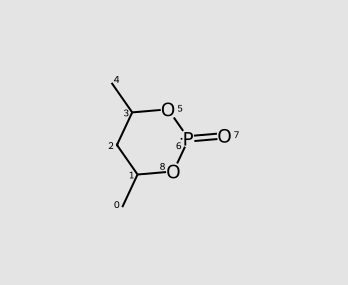 CC1CC(C)O[P](=O)O1